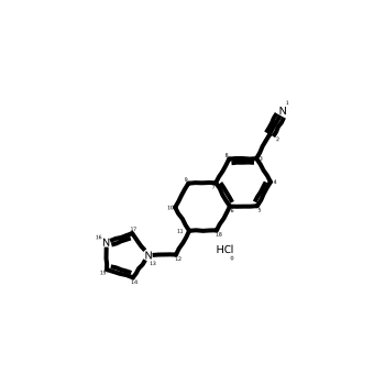 Cl.N#Cc1ccc2c(c1)CCC(Cn1ccnc1)C2